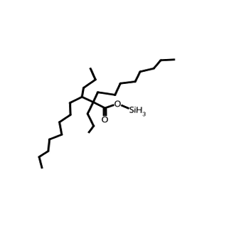 CCCCCCCCC(CCC)C(CCC)(CCCCCCCC)C(=O)O[SiH3]